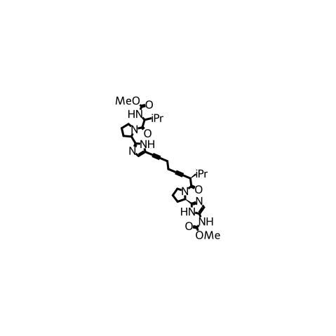 COC(=O)Nc1cnc([C@H]2CCCN2C(=O)[C@@H](C#CCCC#Cc2cnc(C3CCCN3C(=O)C(NC(=O)OC)C(C)C)[nH]2)C(C)C)[nH]1